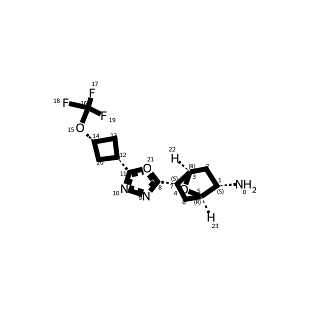 N[C@H]1C[C@H]2O[C@@H]1C[C@@H]2c1nnc([C@H]2C[C@@H](OC(F)(F)F)C2)o1